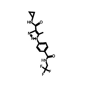 Cc1c(C(=O)NC2CC2)nnn1-c1ccc(C(=O)NCC(F)(F)F)cc1